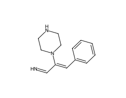 N=CC(=Cc1ccccc1)N1CCNCC1